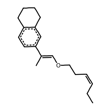 CC/C=C\CCOC=C(C)c1ccc2c(c1)CCCC2